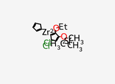 CCOC1=[C]([Zr+2][C]2=CC=CC2)CC=C1O[Si](C)(C)C.[Cl-].[Cl-]